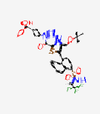 C[C@H](NS(=O)(=O)c1ccc(-c2sc(C(=O)N[C@H]3C[C@H](C(=O)O)C3)nc2COC(C)(C)C)c2ccccc12)C(F)(F)F